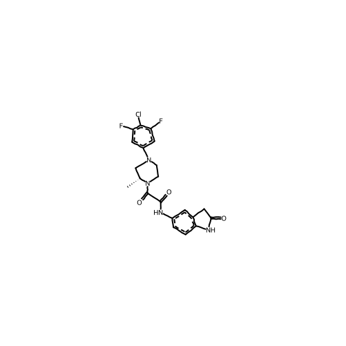 C[C@@H]1CN(c2cc(F)c(Cl)c(F)c2)CCN1C(=O)C(=O)Nc1ccc2c(c1)CC(=O)N2